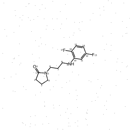 O=C1CCCN1CCCNc1cc(F)[c]cc1F